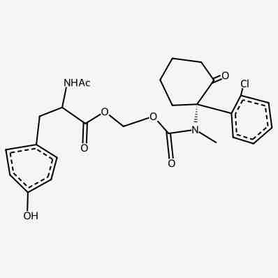 CC(=O)NC(Cc1ccc(O)cc1)C(=O)OCOC(=O)N(C)[C@]1(c2ccccc2Cl)CCCCC1=O